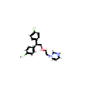 Fc1ccc(C(COCCN2C=CC=NC2)c2ccc(F)cc2)cc1